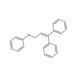 C(CSc1ccccc1)=C(c1ccccc1)c1ccccc1